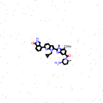 COc1cc(C(=O)N2C[C@H](N)CC[C@@H]2C)cc2nc(-c3cc4ccc(-c5cccc6c5CNC6=O)nc4n3CC3CC3)n(C)c12